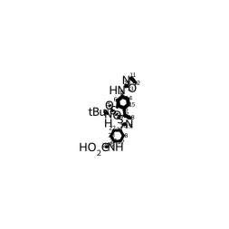 CC(C)(C)NS(=O)(=O)c1cc(Nc2ncco2)ccc1-c1cnc([C@H]2CC[C@H](NC(=O)O)CC2)s1